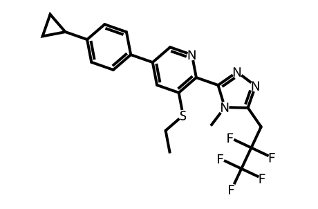 CCSc1cc(-c2ccc(C3CC3)cc2)cnc1-c1nnc(CC(F)(F)C(F)(F)F)n1C